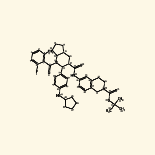 Cc1cccc(F)c1C(=O)N1C2CCCC2CC(C(=O)Nc2ccc3c(c2)CCN(C(=O)OC(C)(C)C)C3)C1c1ccc(NC2CCCC2)cc1